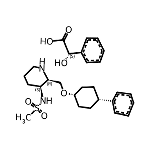 CS(=O)(=O)N[C@H]1CCCN[C@H]1CO[C@H]1CC[C@@H](c2ccccc2)CC1.O=C(O)[C@@H](O)c1ccccc1